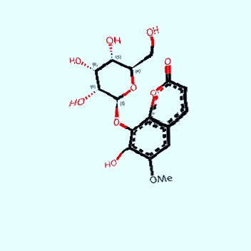 COc1cc2ccc(=O)oc2c(O[C@@H]2O[C@H](CO)[C@@H](O)[C@@H](O)[C@H]2O)c1O